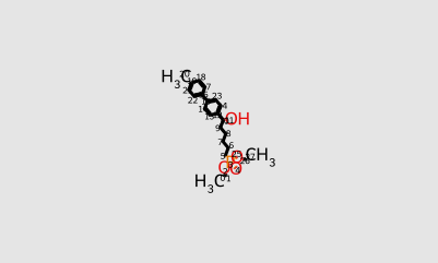 CCOP(=O)(CCCCCC(O)c1ccc(-c2ccc(C)cc2)cc1)OCC